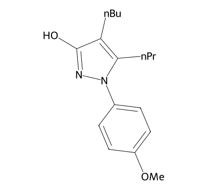 CCCCc1c(O)nn(-c2ccc(OC)cc2)c1CCC